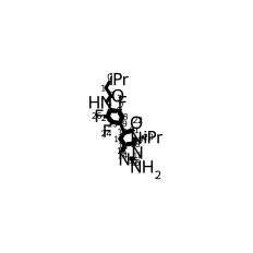 CC(C)CC(=O)Nc1c(F)cc(-c2cc3cnc(N)nc3n(C(C)C)c2=O)c(F)c1F